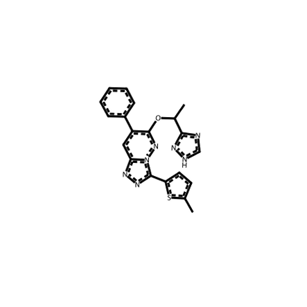 Cc1ccc(-c2nnc3cc(-c4ccccc4)c(OC(C)c4nc[nH]n4)nn23)s1